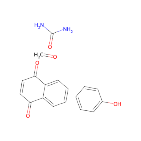 C=O.NC(N)=O.O=C1C=CC(=O)c2ccccc21.Oc1ccccc1